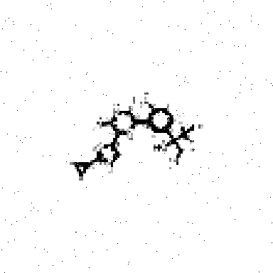 Cc1ccc(C(O)(CN)C(F)(F)F)cc1-c1cnc(N)c(-c2cnc(C3CC3)s2)n1